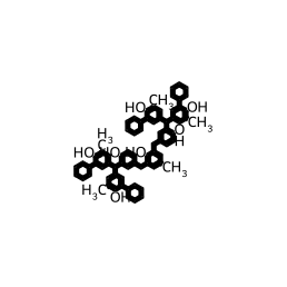 Cc1cc(Cc2ccc(O)c(C(c3cc(C)c(O)c(C4CCCCC4)c3)c3cc(C)c(O)c(C4CCCCC4)c3)c2)c(O)c(Cc2ccc(O)c(C(c3cc(C)c(O)c(C4CCCCC4)c3)c3cc(C)c(O)c(C4CCCCC4)c3)c2)c1